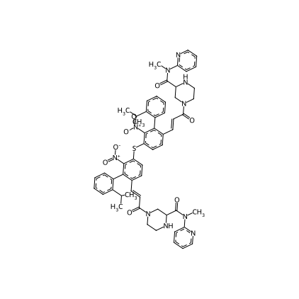 CC(C)c1ccccc1-c1c(/C=C/C(=O)N2CCNC(C(=O)N(C)c3ccccn3)C2)ccc(Sc2ccc(/C=C/C(=O)N3CCNC(C(=O)N(C)c4ccccn4)C3)c(-c3ccccc3C(C)C)c2[N+](=O)[O-])c1[N+](=O)[O-]